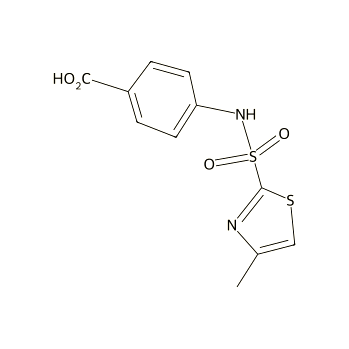 Cc1csc(S(=O)(=O)Nc2ccc(C(=O)O)cc2)n1